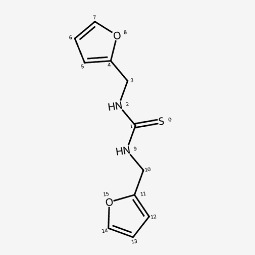 S=C(NCc1ccco1)NCc1ccco1